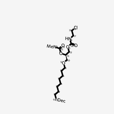 CCCCCCCCCCCCCCCCCCOC[C@H](COC(=O)NCCCl)OC(=O)NC